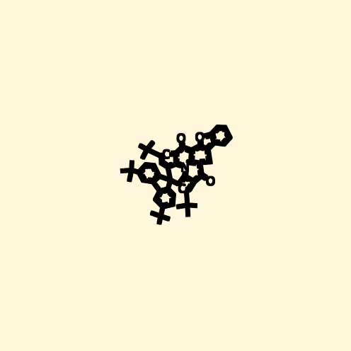 CC(C)(C)c1ccc2c(c1)-c1cc(C(C)(C)C)ccc1C21c2cc(C(C)(C)C)cc3c(=O)c4cc5c6ccccc6oc5c5c(=O)c6cc(C(C)(C)C)cc1c6n(c23)c45